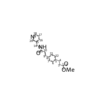 COC(=O)CCc1ccc(C=CC(=O)NCc2cccnc2)cc1